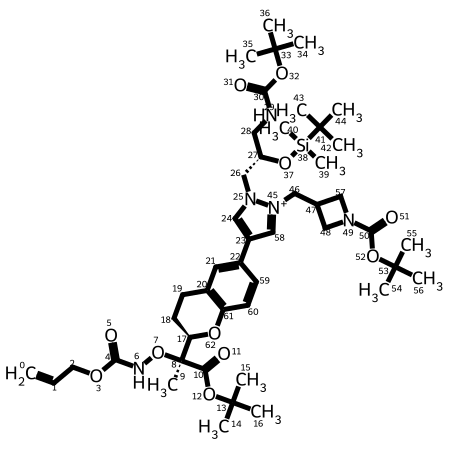 C=CCOC(=O)NO[C@](C)(C(=O)OC(C)(C)C)[C@H]1CCc2cc(-c3cn(C[C@H](CNC(=O)OC(C)(C)C)O[Si](C)(C)C(C)(C)C)[n+](CC4CN(C(=O)OC(C)(C)C)C4)c3)ccc2O1